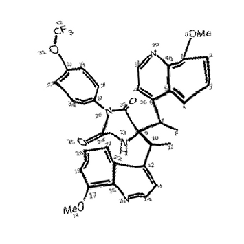 COc1cccc2c(C(C)C3(C(C)c4ccnc5c(OC)cccc45)NC(=O)N(c4ccc(OC(F)(F)F)cc4)C3=O)ccnc12